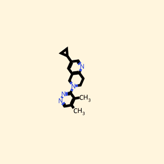 Cc1cnnc(N2CCc3ncc(C4CC4)cc3C2)c1C